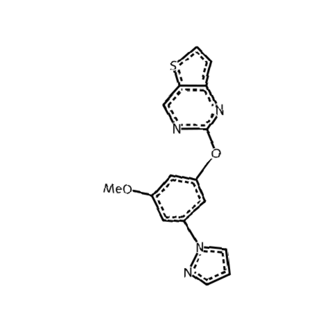 COc1cc(Oc2ncc3sccc3n2)cc(-n2cccn2)c1